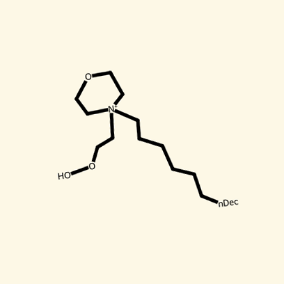 CCCCCCCCCCCCCCCC[N+]1(CCOO)CCOCC1